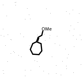 COCC=C1CCCCCC1